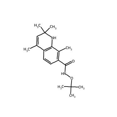 CC1=CC(C)(C)Nc2c1ccc(C(=O)NOC(C)(C)C)c2C